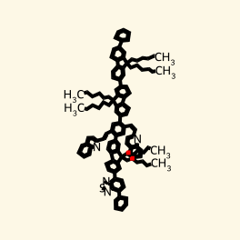 CCCCCCC1(CCCCCC)c2cc(-c3ccccc3)ccc2-c2ccc(-c3ccc4c(c3)C(CCCCCC)(CCCCCC)c3cc(-c5cc(/C=C/c6ccc7ccccc7n6)c(-c6ccc7c(c6)C(CCCCCC)(CCCCCC)c6cc(-c8ccc(-c9ccccc9)c9nsnc89)ccc6-7)cc5/C=C\c5ccc6ccccc6n5)ccc3-4)cc21